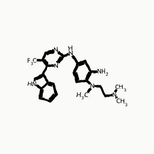 CN(C)CCN(C)c1ccc(Nc2ncc(C(F)(F)F)c(-c3c[nH]c4ccccc34)n2)cc1N